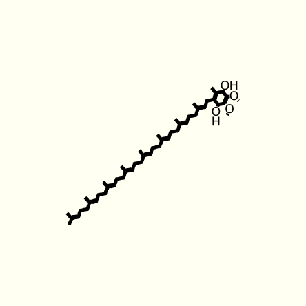 COC1=C(OC)C(O)C(C/C=C(\C)CC/C=C(\C)CC/C=C(\C)CC/C=C(\C)CC/C=C(\C)CC/C=C(\C)CC/C=C(\C)CCC=C(C)C)=C(C)C1O